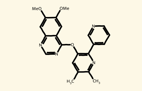 COc1cc2ncnc(Oc3cc(C)c(C)nc3-c3cccnc3)c2cc1OC